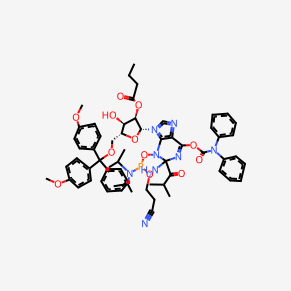 CCCC(=O)O[C@@H]1[C@H](O)[C@@H](COC(c2ccccc2)(c2ccc(OC)cc2)c2ccc(OC)cc2)O[C@H]1n1cnc2c1N(OP(OCCC#N)N(C(C)C)C(C)C)C(N)(C(=O)C(C)C)N=C2OC(=O)N(c1ccccc1)c1ccccc1